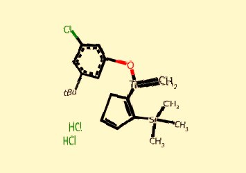 Cl.Cl.[CH2]=[Ti]([O]c1cc(Cl)cc(C(C)(C)C)c1)[C]1=C([Si](C)(C)C)C=CC1